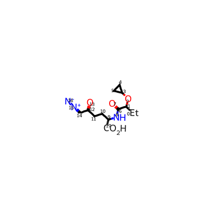 CCC(OC1CC1)C(=O)NC(CCC(=O)C=[N+]=[N-])C(=O)O